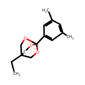 CCC12COC(c3cc(C)cc(C)c3)(OC1)OC2